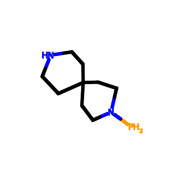 PN1CCC2(CCNCC2)CC1